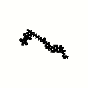 Cc1cc(OCCCCCCOC(=O)/C=C/c2ccc(OC3CCC4(C)C(CCC5C4CCC4(C)C(C(C)CCCC(C)C)CCC54)C3)cc2)cc(N2C(=O)C3C4C(=O)N(C)C(=O)C4C3C2=O)c1